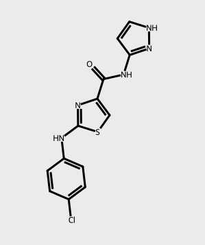 O=C(Nc1cc[nH]n1)c1csc(Nc2ccc(Cl)cc2)n1